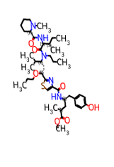 CCCO[C@H](C[C@H](C(C)C)N(CCC)C(=O)[C@@H](NC(=O)[C@H]1CCCCN1C)[C@@H](C)CC)c1nc(C(=O)N[C@@H](Cc2ccc(O)cc2)C[C@H](C)C(=O)OC)cs1